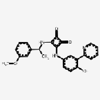 COc1cccc([C@H](C)Nc2c(Nc3ccc(O)c(-c4ccccn4)c3)c(=O)c2=O)c1